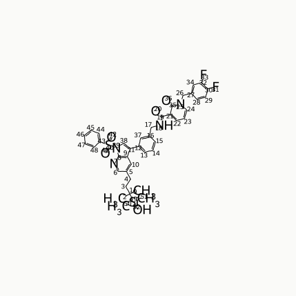 CC(C)(CCc1cnc2c(c1)c(-c1cccc(CNC(=O)c3cccn(Cc4ccc(F)c(F)c4)c3=O)c1)cn2S(=O)(=O)c1ccccc1)[Si](C)(C)O